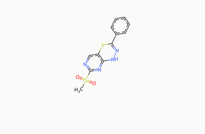 CS(=O)(=O)c1ncc2c(n1)NN=C(c1ccccc1)S2